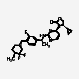 CC1CCN(Cc2ccc([C@H](C)Nc3nccc(N4C(=O)OC[C@@H]4C4CC4)n3)cc2F)CC1(F)F